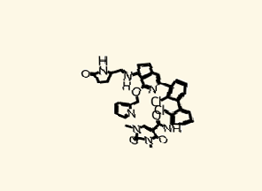 Cn1cc(C(=O)Nc2cccc(-c3cccc(-c4cc5c(c(OCc6ccccn6)n4)C(NCC4CCC(=O)N4)CC5)c3Cl)c2Cl)c(=O)n(C)c1=O